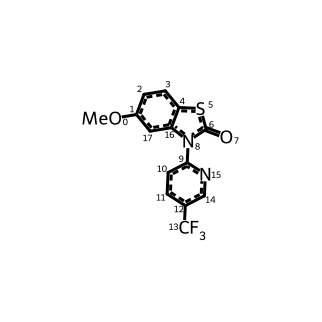 COc1ccc2sc(=O)n(-c3ccc(C(F)(F)F)cn3)c2c1